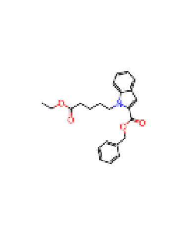 CCOC(=O)CCCCn1c(C(=O)OCc2ccccc2)cc2ccccc21